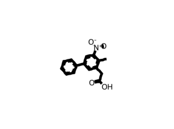 Cc1c(CC(=O)O)cc(-c2ccccc2)cc1[N+](=O)[O-]